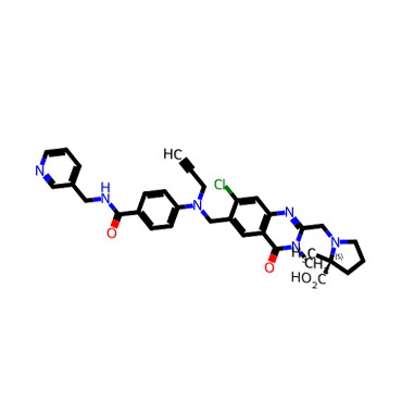 C#CCN(Cc1cc2c(=O)n(C)c(CN3CCC[C@@]3(C)C(=O)O)nc2cc1Cl)c1ccc(C(=O)NCc2cccnc2)cc1